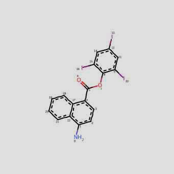 Nc1ccc(C(=O)Oc2c(I)cc(I)cc2I)c2ccccc12